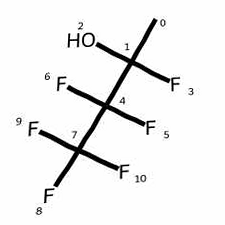 CC(O)(F)C(F)(F)C(F)(F)F